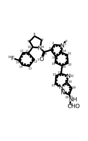 Cn1cc(C(=O)N2CCCC2c2cccc(F)c2)c2cc(-c3ccn4nc(NC=O)cc4n3)ccc21